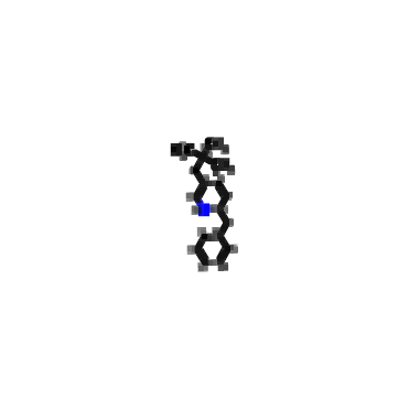 CC(C)(C)Cc1ccc(Cc2ccccc2)nc1